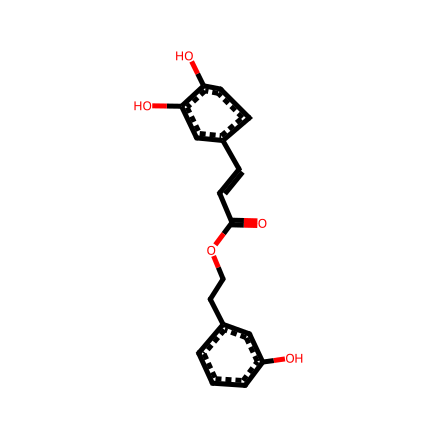 O=C(/C=C/c1ccc(O)c(O)c1)OCCc1cccc(O)c1